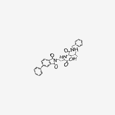 CC(C)C[C@@H](NC(CCN1C(=O)c2ccc(-c3ccccc3)cc2C1=O)C(=O)O)C(=O)NCc1ccccc1